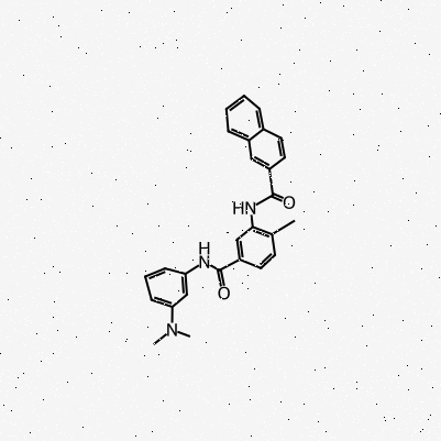 Cc1ccc(C(=O)Nc2cccc(N(C)C)c2)cc1NC(=O)c1ccc2ccccc2c1